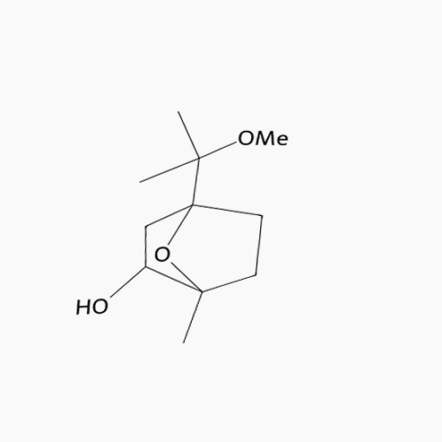 COC(C)(C)C12CCC(C)(O1)C(O)C2